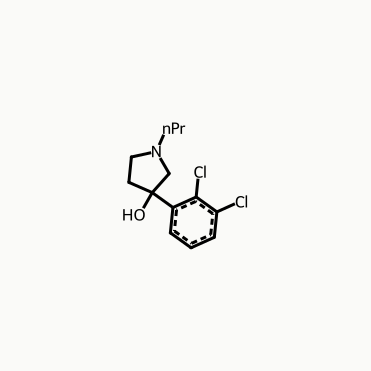 CCCN1CCC(O)(c2cccc(Cl)c2Cl)C1